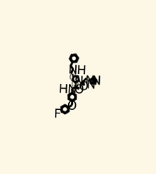 O=C(Nc1ccc(Oc2ccc(F)cc2)cc1)[C@@H]1C[C@@H](CNCc2ccccc2)CN1C(=O)Cn1cncn1